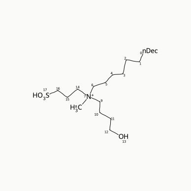 CCCCCCCCCCCCCCCC[N+](C)(CCCCO)CCCS(=O)(=O)O